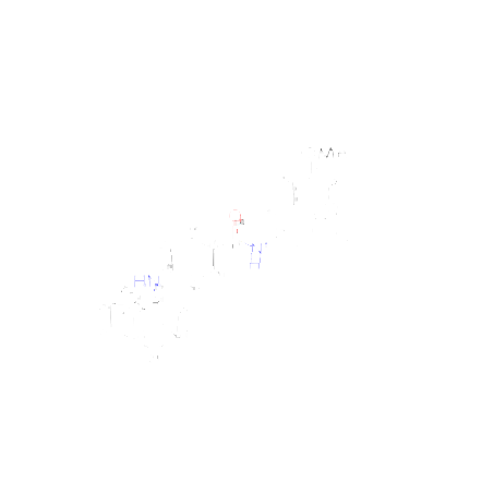 COc1cccc(C[C@H](CC2CC2)NC(=O)c2ccc(NC34CC5CC(CC(C5)C3)C4)cc2)c1